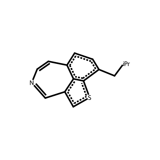 CC(C)Cc1ccc2c3c(csc13)C=NC=C2